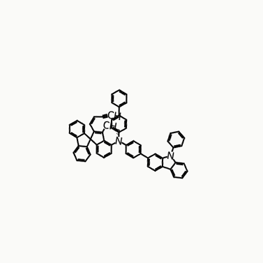 C#C/C=C\C1=C(C)c2c(N(c3ccc(-c4ccccc4)cc3)c3ccc(-c4ccc5c6ccccc6n(-c6ccccc6)c5c4)cc3)cccc2C12c1ccccc1-c1ccccc12